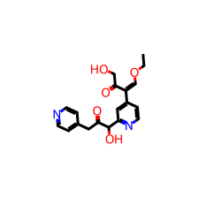 CCOC=C(C(=O)CO)c1ccnc(C(O)C(=O)Cc2ccncc2)c1